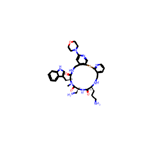 CN1C(=O)[C@H](CN)NC(=O)[C@H](CCCN)NCc2cccnc2Sc2cnc(N3CCOCC3)cc2CNC(=O)[C@@H]1Cc1c[nH]c2ccccc12